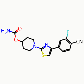 N#Cc1ccc(-c2csc(N3CCC(OC(N)=O)CC3)n2)cc1F